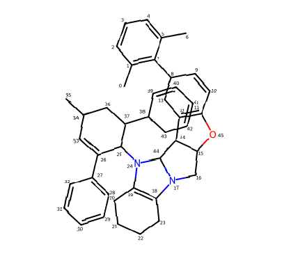 Cc1cccc(C)c1C1C=CC2=C(C1)C1C(CN3C4=C(CCCC4)N(C4C(c5ccccc5)=CC(C)CC4C4C=CC=CC4)C13)O2